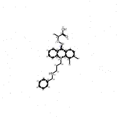 Cc1ccc2/c(=N/OC(C)C(=O)O)c3ccccc3n(CCCNCc3ccccc3)c2c1C